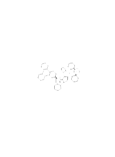 c1ccc2c(c1)Oc1ccccc1C21c2ccccc2-c2c1ccc1c3ccccc3n(-c3ccc4c5ccccc5c5ccccc5c4c3)c21